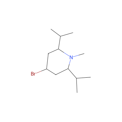 CC(C)C1CC(Br)CC(C(C)C)N1C